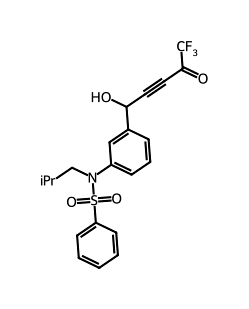 CC(C)CN(c1cccc(C(O)C#CC(=O)C(F)(F)F)c1)S(=O)(=O)c1ccccc1